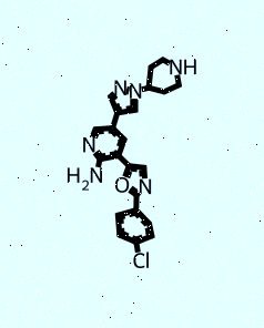 Nc1ncc(-c2cnn(C3CCNCC3)c2)cc1-c1cnc(-c2ccc(Cl)cc2)o1